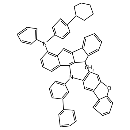 CC12c3ccccc3-c3cc4c(N(c5ccccc5)c5ccc(C6CCCCC6)cc5)cccc4c(c31)N(c1cccc(-c3ccccc3)c1)c1cc3c(cc12)oc1ccccc13